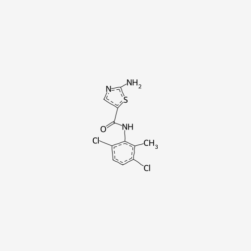 Cc1c(Cl)ccc(Cl)c1NC(=O)c1cnc(N)s1